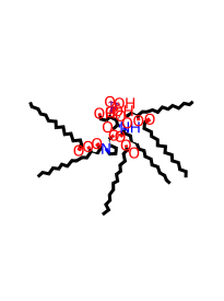 CCCCCCCCCCCCCC(=O)O[C@H](CCCCCCCCCCC)CC(=O)NC1[C@H](OC[C@@H]2CCCN2C(=O)C[C@@H](CCCCCCCCCCC)OC(=O)CCCCCCCCCCCCC)OC(CO)[C@@H](OP(=O)(O)O)[C@@H]1OC(=O)C[C@@H](CCCCCCCCCCC)OC(=O)CCCCCCCCCCCCC